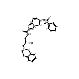 O=C(NC[C@@H](O)CN1CCc2ccccc2C1)c1cn2cc(NS(=O)(=O)c3ccccc3)ccc2n1